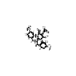 COc1ccc(CN(Cc2ccc(OC)cc2)c2cc(C)c(C3CC3)c(Br)n2)cc1